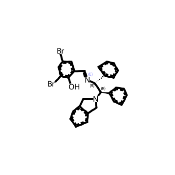 Oc1c(Br)cc(Br)cc1/C=N/[C@H](c1ccccc1)[C@@H](c1ccccc1)N1Cc2ccccc2C1